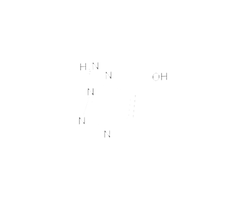 N.Oc1cnnnn1